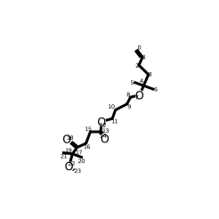 C=CCCC(C)(C)OCCCCOC(=O)CCC(=O)C(C)(C)OC